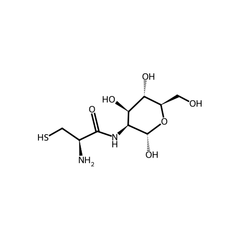 N[C@@H](CS)C(=O)N[C@H]1[C@@H](O)[C@H](O)[C@@H](CO)O[C@@H]1O